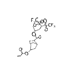 C=CC(=O)OC1CC2CC1CC2C(=O)OC(C)CC(S(=O)(=O)C(F)(F)F)S(=O)(=O)C(F)(F)F